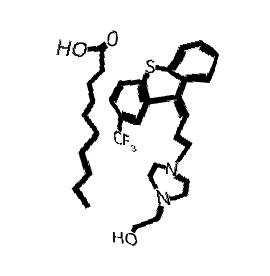 CCCCCCCCCC(=O)O.OCCN1CCN(CCC=C2c3ccccc3Sc3ccc(C(F)(F)F)cc32)CC1